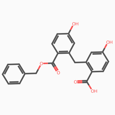 O=C(O)c1ccc(O)cc1Cc1cc(O)ccc1C(=O)OCc1ccccc1